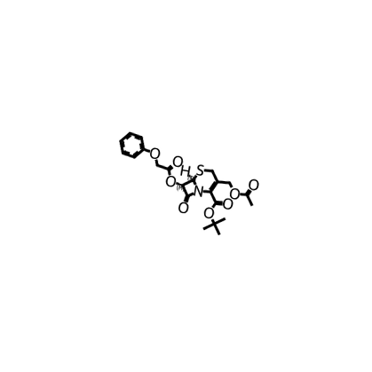 CC(=O)OCC1=C(C(=O)OC(C)(C)C)N2C(=O)[C@@H](OC(=O)COc3ccccc3)[C@H]2SC1